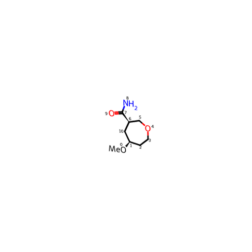 CO[C@@H]1CCOC[C@H](C(N)=O)C1